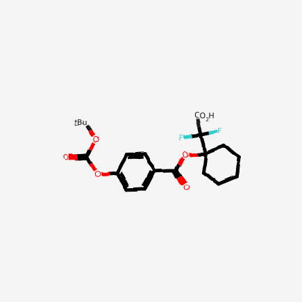 CC(C)(C)OC(=O)Oc1ccc(C(=O)OC2(C(F)(F)C(=O)O)CCCCC2)cc1